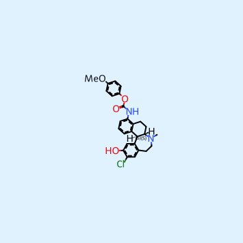 COc1ccc(OC(=O)Nc2cccc3c2CC[C@H]2[C@H]3c3cc(O)c(Cl)cc3CCN2C)cc1